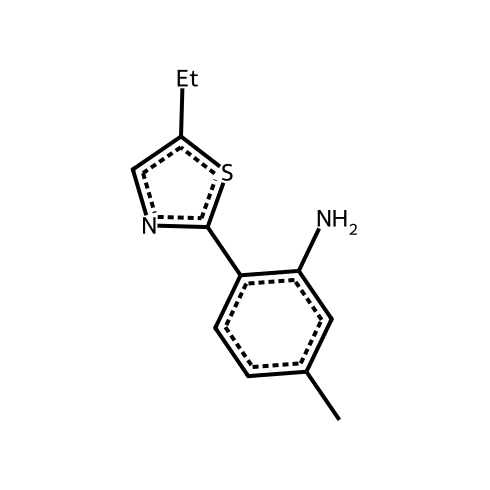 CCc1cnc(-c2ccc(C)cc2N)s1